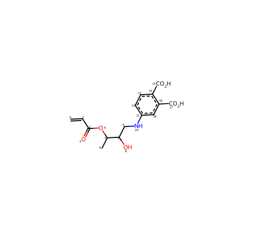 C=CC(=O)OC(C)C(O)CNc1ccc(C(=O)O)c(C(=O)O)c1